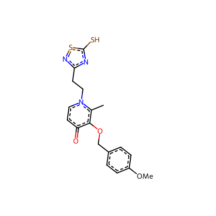 COc1ccc(COc2c(C)n(CCc3nsc(S)n3)ccc2=O)cc1